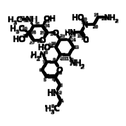 CCNCC1=CC[C@@H](N)[C@@H](C2[C@@H](N)C[C@@H](NC(=O)N(O)CCN)[C@H](O[C@H]3OC[C@](C)(O)[C@H](NC)[C@H]3O)[C@H]2O)O1